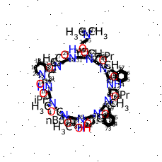 CCCCN1CC(=O)N(C)[C@@H](C(C)C)C(=O)N[C@H](C(=O)N2CCCCC2)CC(=O)N(C)[C@@H](C)C(=O)N[C@@H](COCCN(C)C)C(=O)N(C)[C@@H](CC(C)C)C(=O)N(C)[C@@H](Cc2ccccc2)C(=O)N[C@@H](CC(C)C)C(=O)N(C)[C@@H](Cc2ccccc2)C(=O)N(C)[C@@H](CC(C)C)C(=O)N[C@@H](C(C)O)C1=O